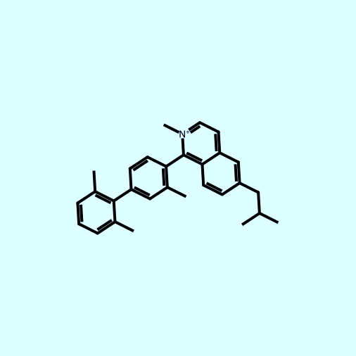 Cc1cc(-c2c(C)cccc2C)ccc1-c1c2ccc(CC(C)C)cc2cc[n+]1C